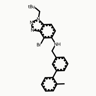 Cc1ccccc1-c1cccc(CNc2ccc3c(nnn3CC(C)(C)C)c2Br)c1